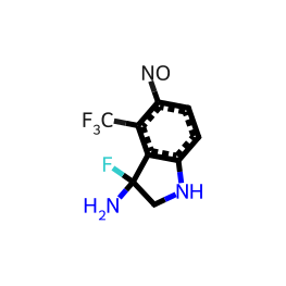 NC1(F)CNc2ccc(N=O)c(C(F)(F)F)c21